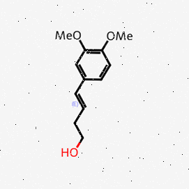 COc1ccc(/C=C/CCO)cc1OC